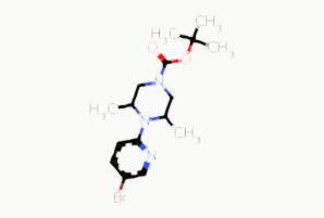 CC1CN(C(=O)OC(C)(C)C)CC(C)N1c1ccc(Br)cn1